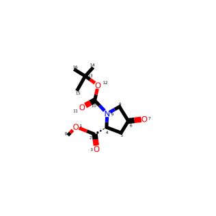 COC(=O)[C@H]1CC(=O)CN1C(=O)OC(C)(C)C